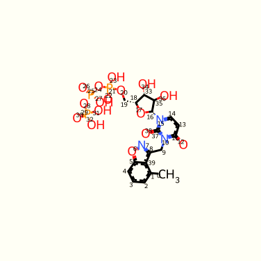 Cc1cccc2onc(Cn3c(=O)ccn([C@@H]4O[C@H](COP(=O)(O)OP(=O)(O)OP(=O)(O)O)[C@H](O)C4O)c3=O)c12